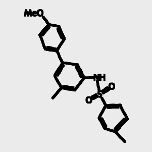 COc1ccc(-c2cc(C)cc(NS(=O)(=O)c3ccc(C)cc3)c2)cc1